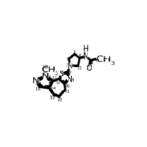 CC(=O)NC1CCN(c2nc3c(s2)-c2c(cnn2C)CCC3)C1